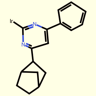 [Ir][c]1nc(-c2ccccc2)cc(C2CC3CCC2C3)n1